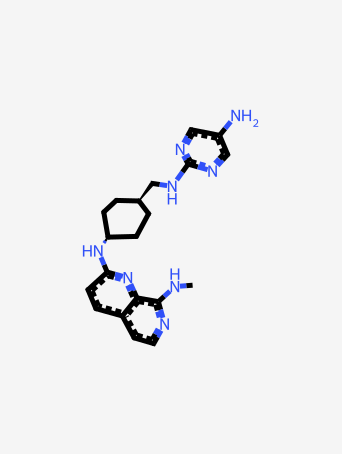 CNc1nccc2ccc(N[C@H]3CC[C@H](CNc4ncc(N)cn4)CC3)nc12